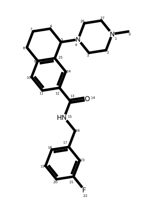 CN1CCN(C2CCCc3ccc(C(=O)NCc4cccc(F)c4)cc32)CC1